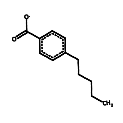 CCCCCc1ccc(C([O])=O)cc1